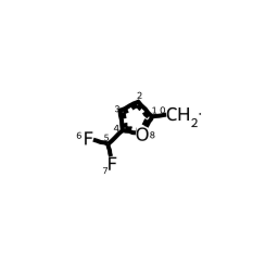 [CH2]c1ccc(C(F)F)o1